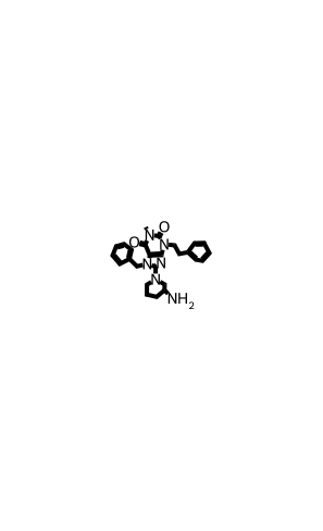 Cn1c(=O)c2c(nc(N3CCCC(N)C3)n2Cc2ccccc2)n(CCc2ccccc2)c1=O